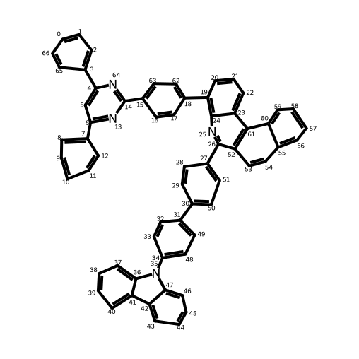 c1ccc(-c2cc(-c3ccccc3)nc(-c3ccc(-c4cccc5c4nc(-c4ccc(-c6ccc(-n7c8ccccc8c8ccccc87)cc6)cc4)c4ccc6ccccc6c45)cc3)n2)cc1